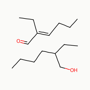 CCC/C=C(/C=O)CC.CCCCC(CC)CO